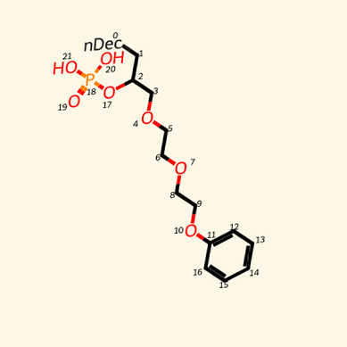 CCCCCCCCCCCC(COCCOCCOc1ccccc1)OP(=O)(O)O